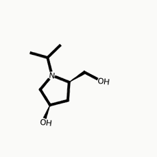 CC(C)N1C[C@H](O)C[C@@H]1CO